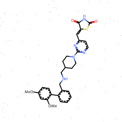 COc1ccc(-c2ccccc2CNCC2CCN(c3nccc(/C=C4\SC(=O)NC4=O)n3)CC2)c(OC)c1